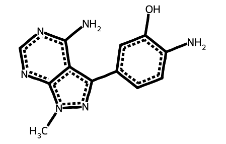 Cn1nc(-c2ccc(N)c(O)c2)c2c(N)ncnc21